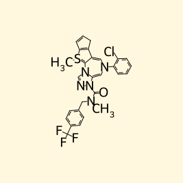 CN(Cc1ccc(C(F)(F)F)cc1)C(=O)N1N=CN2C1=CN(c1ccccc1Cl)C=C1C3=C(C=CC3)S(C)=C12